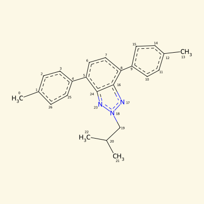 Cc1ccc(-c2ccc(-c3ccc(C)cc3)c3nn(CC(C)C)nc23)cc1